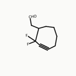 O=CCC1CCCCC#CC1(F)F